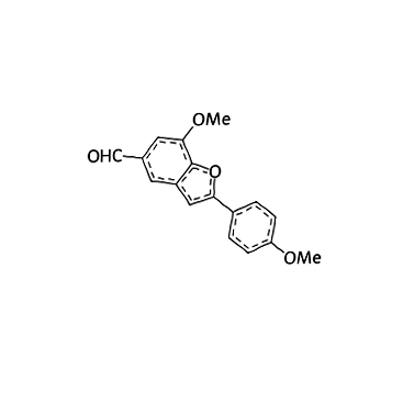 COc1ccc(-c2cc3cc(C=O)cc(OC)c3o2)cc1